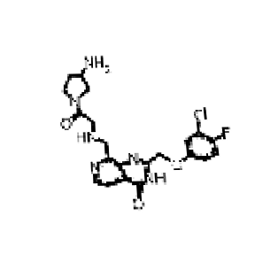 NC1CCN(C(=O)CNCc2nccc3c(=O)[nH]c(COc4ccc(F)c(Cl)c4)nc23)C1